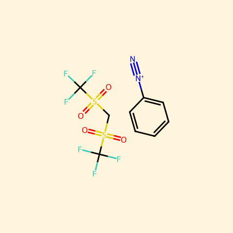 N#[N+]c1ccccc1.O=S(=O)(CS(=O)(=O)C(F)(F)F)C(F)(F)F